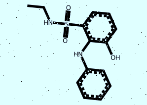 CCNS(=O)(=O)c1cccc(O)c1Nc1ccccc1